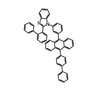 c1ccc(-c2ccc(-c3c4ccccc4c(-c4cccc(-n5c(-c6ccccc6-c6ccccc6)nc6ccccc65)c4)c4ccccc34)cc2)cc1